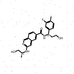 Cc1ccc([C@@H](CCO)NC(=O)c2ccc3cnc(N[C@@H](C)CO)cc3c2)cc1F